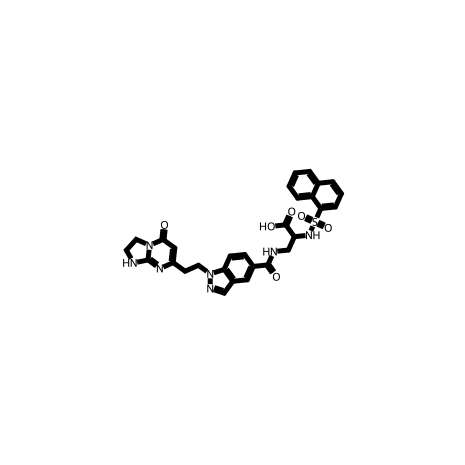 O=C(NCC(NS(=O)(=O)c1cccc2ccccc12)C(=O)O)c1ccc2c(cnn2CCc2cc(=O)n3c(n2)NCC3)c1